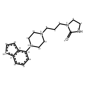 O=C1NCCN1CCCN1CCN(c2cccc3sccc23)CC1